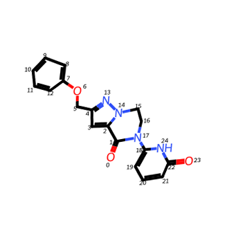 O=C1c2cc(COc3ccccc3)nn2CCN1c1cccc(=O)[nH]1